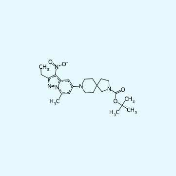 CCc1nn2c(C)cc(N3CCC4(CCN(C(=O)OC(C)(C)C)C4)CC3)cc2c1[N+](=O)[O-]